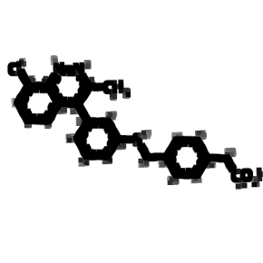 Cc1nnc2c(Cl)cccc2c1-c1cccc(SCc2ccc(CC(=O)O)cc2)c1